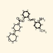 Cc1ccc(/N=N/c2ccccc2OC(=O)N2CCC(N3CCCOCC3)CC2)c(N)c1